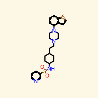 O=S(=O)(NC1CCC(CCN2CCN(c3cccc4sccc34)CC2)CC1)c1cccnc1